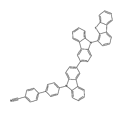 N#Cc1ccc(-c2ccc(-n3c4ccccc4c4cc(-c5ccc6c(c5)c5ccccc5n6-c5cccc6c5sc5ccccc56)ccc43)cc2)cc1